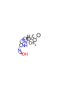 Cc1c(NC2=c3ncc(CN4CC[C@@H](O)C4)cc3=CCN2C#N)cccc1-c1cccc(-c2ccccc2)c1C